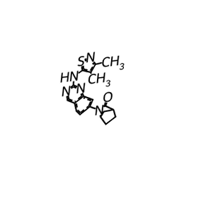 Cc1nsc(Nc2ncc3ccc(N4C(=O)C5CCC4C5)cc3n2)c1C